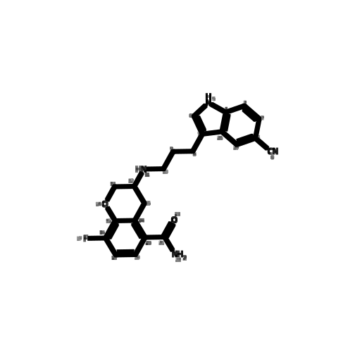 N#Cc1ccc2[nH]cc(CCCNC3COc4c(F)ccc(C(N)=O)c4C3)c2c1